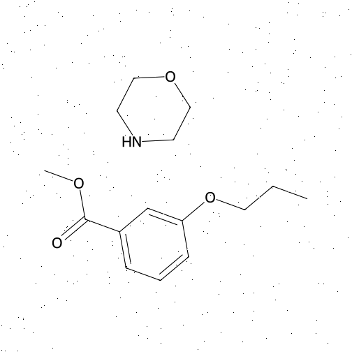 C1COCCN1.CCCOc1cccc(C(=O)OC)c1